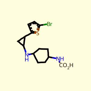 O=C(O)NC1CCC(NC2CC2c2ccc(Br)s2)CC1